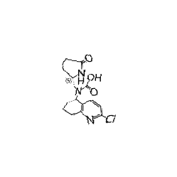 O=C1CC[C@@H](CN(C(=O)O)C2CCCc3nc(Cl)ccc32)N1